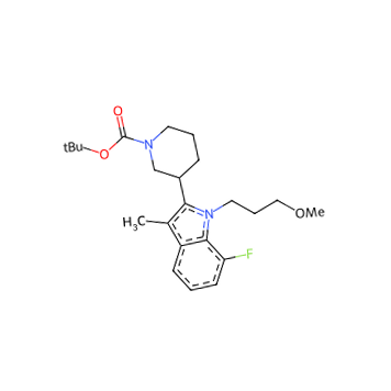 COCCCn1c(C2CCCN(C(=O)OC(C)(C)C)C2)c(C)c2cccc(F)c21